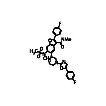 CNC(=O)c1c(-c2ccc(F)cc2)oc2cc(N(C)S(C)(=O)=O)c([C@@H]3CCCN(c4ncc(-c5ccc(F)cc5)o4)C3)cc12